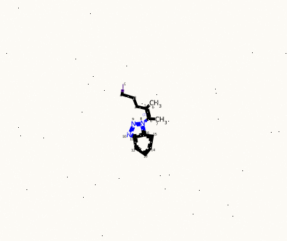 C/C(CCCI)=C(\C)n1nnc2ccccc21